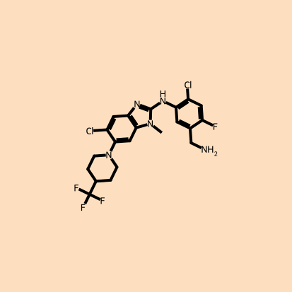 Cn1c(Nc2cc(CN)c(F)cc2Cl)nc2cc(Cl)c(N3CCC(C(F)(F)F)CC3)cc21